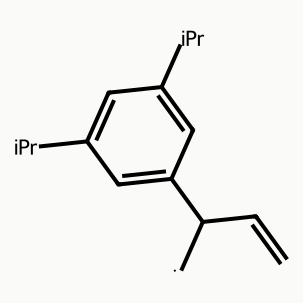 [CH2]C(C=C)c1cc(C(C)C)cc(C(C)C)c1